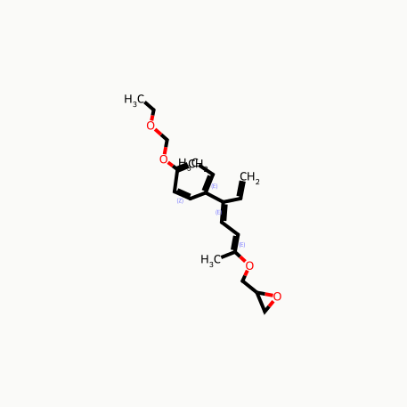 C=CC(=C\C=C(/C)OCC1CO1)/C(/C=C\C(=C)OCOCC)=C/C